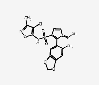 Cc1cc2c(cc1C1=C(S(=O)(=O)Nc3onc(C)c3Cl)C=CS1=NO)OCO2